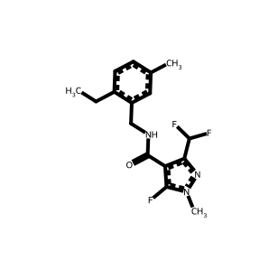 CCc1ccc(C)cc1CNC(=O)c1c(C(F)F)nn(C)c1F